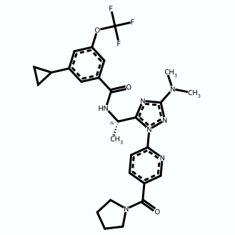 C[C@H](NC(=O)c1cc(OC(F)(F)F)cc(C2CC2)c1)c1nc(N(C)C)nn1-c1ccc(C(=O)N2CCCC2)cn1